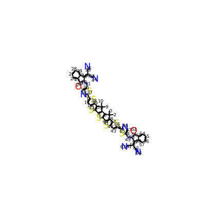 CC1(C)c2c(sc3c2C(C)(C)c2c-3sc3cc(-c4ncc(/C=C5\C(=O)c6ccccc6C5=C(C#N)C#N)s4)sc23)-c2sc3cc(-c4ncc(/C=C5\C(=O)c6ccccc6C5=C(C#N)C#N)s4)sc3c21